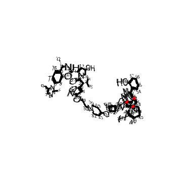 Cc1cnc(C)n1-c1ccc([C@H](C)NC(=O)[C@@H]2C[C@@H](O)CN2C(=O)[C@@H](c2cc(OCCN3CCC(OC4CC(Oc5cc(N6C7CC[C@@H]6CN(c6cc(-c8ccccc8O)nnc6N)C7)ccn5)C4)CC3)no2)C(C)C)cc1